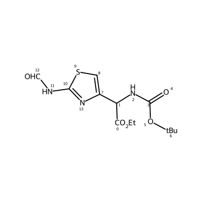 CCOC(=O)C(NC(=O)OC(C)(C)C)c1csc(NC=O)n1